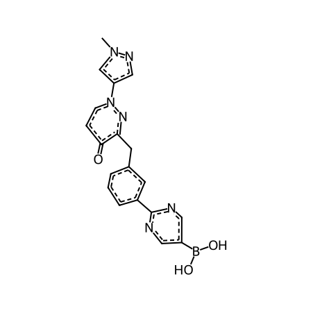 Cn1cc(-n2ccc(=O)c(Cc3cccc(-c4ncc(B(O)O)cn4)c3)n2)cn1